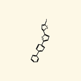 Ic1ccc(-c2ccc(-c3ccc(-c4ccccc4)cc3)s2)s1